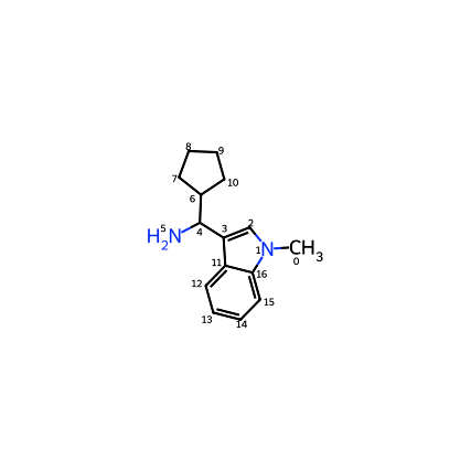 Cn1cc(C(N)C2CCCC2)c2ccccc21